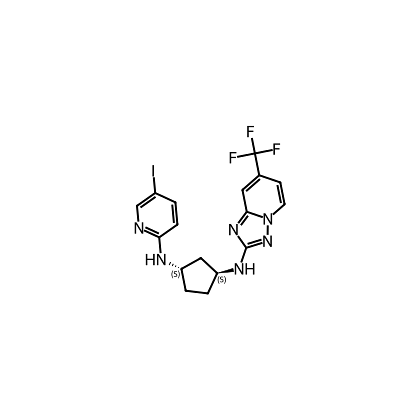 FC(F)(F)c1ccn2nc(N[C@H]3CC[C@H](Nc4ccc(I)cn4)C3)nc2c1